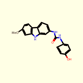 COc1ccc2c(c1)[nH]c1cc(NC(=O)Nc3ccc(O)cc3)ccc12